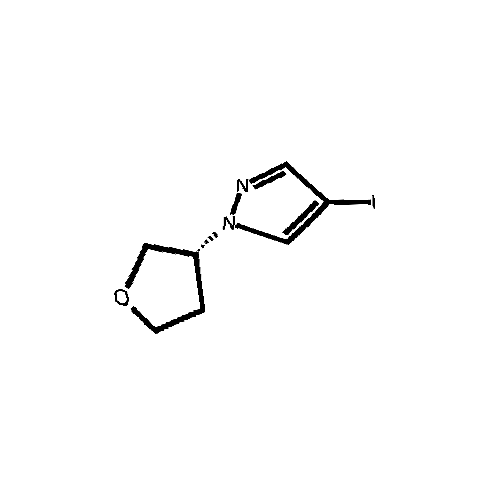 Ic1cnn([C@@H]2CCOC2)c1